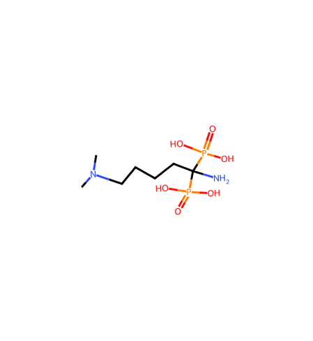 CN(C)CCCCC(N)(P(=O)(O)O)P(=O)(O)O